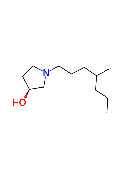 CCCC(C)CCCN1CC[C@H](O)C1